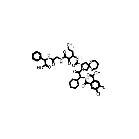 CCCC(NC(=O)[C@@H]1CC2(CN1C(=O)[C@@H](NC(=O)c1cc(Cl)c(Cl)cc1C(=O)O)C1CCCCC1)SCCCS2)C(=O)C(=O)NCC(=O)NC(C(=O)O)c1ccccc1